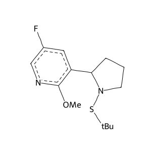 COc1ncc(F)cc1C1CCCN1SC(C)(C)C